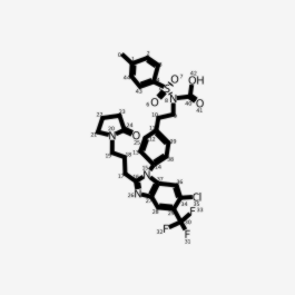 Cc1ccc(S(=O)(=O)N(CCc2ccc(-n3c(CCCN4CCCC4=O)nc4cc(C(F)(F)F)c(Cl)cc43)cc2)C(=O)O)cc1